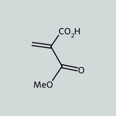 C=C(C(=O)O)C(=O)OC